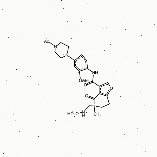 COc1cc(N2CCN(C(C)=O)CC2)ccc1NC(=O)c1coc2c1C(=O)C(C)(CNC(=O)O)CC2